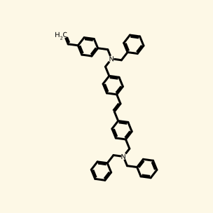 C=Cc1ccc(CN(Cc2ccccc2)Cc2ccc(C=Cc3ccc(CN(Cc4ccccc4)Cc4ccccc4)cc3)cc2)cc1